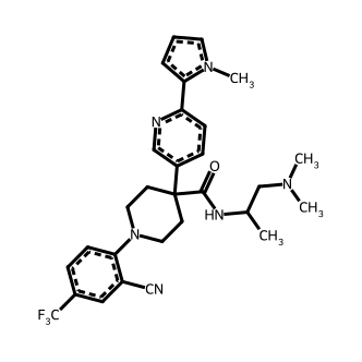 CC(CN(C)C)NC(=O)C1(c2ccc(-c3cccn3C)nc2)CCN(c2ccc(C(F)(F)F)cc2C#N)CC1